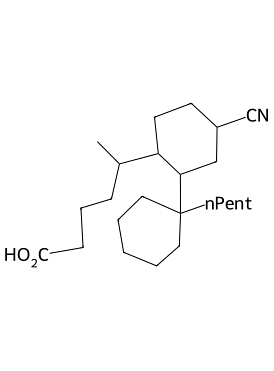 CCCCCC1(C2CC(C#N)CCC2C(C)CCCC(=O)O)CCCCC1